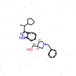 CC(c1n[nH]c2cc([C@@H]3CN(Cc4ccccc4)C[C@@]3(C)[C@@H](C)O)ccc12)C1CCCC1